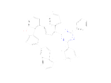 c1ccc(C2=NC(c3ccc(-c4cccc5oc6ccc(-c7ccc8ccccc8c7)cc6c45)c4ccccc34)NC(c3ccccc3)=N2)cc1